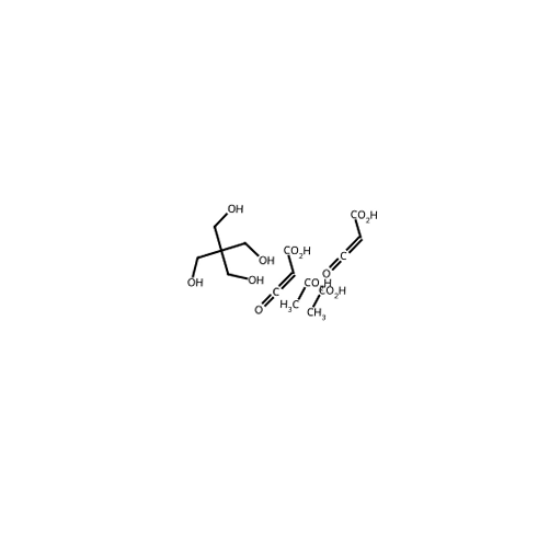 CC(=O)O.CC(=O)O.O=C=CC(=O)O.O=C=CC(=O)O.OCC(CO)(CO)CO